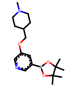 CN1CCC(COc2cncc(B3OC(C)(C)C(C)(C)O3)c2)CC1